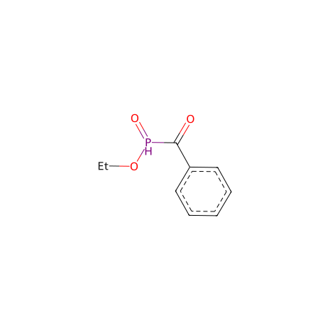 CCO[PH](=O)C(=O)c1ccccc1